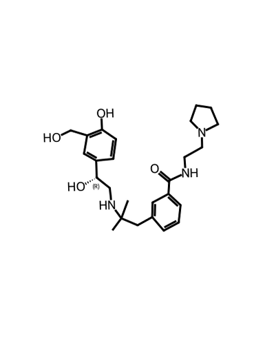 CC(C)(Cc1cccc(C(=O)NCCN2CCCC2)c1)NC[C@H](O)c1ccc(O)c(CO)c1